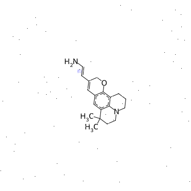 CC1(C)CCN2CCCc3c4c(cc1c32)C=C(/C=C/N)CO4